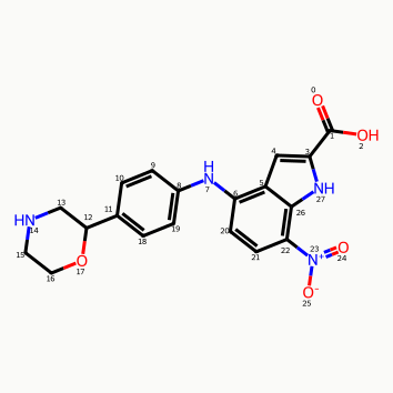 O=C(O)c1cc2c(Nc3ccc(C4CNCCO4)cc3)ccc([N+](=O)[O-])c2[nH]1